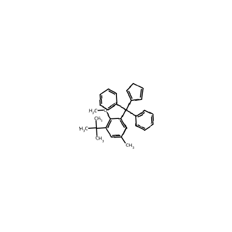 COc1c(C(C)(C)C)cc(C)cc1C(C1=CCC=C1)(c1ccccc1)c1ccccc1